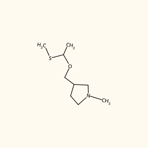 CSC(C)OCC1CCN(C)C1